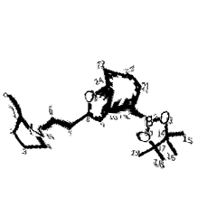 CC1CCCN1CCc1cc2c(B3OC(C)(C)C(C)(C)O3)cccc2o1